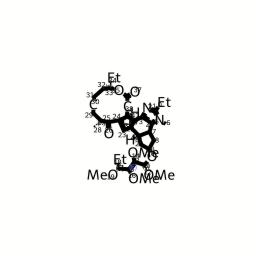 CCc1nc2c(n1C)C1C[C@@H](O[C@H](OC)/C(OC)=C(\OC)[C@H](CC)OC)C[C@H]1C1C=C3C(=O)[C@H](C)CCCC[C@H](CC)OC(=O)C[C@H]3[C@H]21